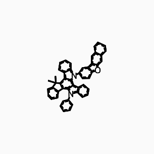 CC1(C)c2ccccc2-c2c1c1c3ccccc3n(-c3ccc4oc5cc6ccccc6cc5c4c3)c1c1c3ccccc3n(-c3ccccc3)c21